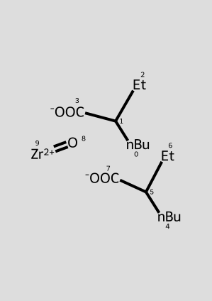 CCCCC(CC)C(=O)[O-].CCCCC(CC)C(=O)[O-].[O]=[Zr+2]